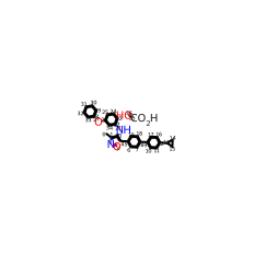 Cc1noc(-c2ccc(-c3ccc(C4CC4)cc3)cc2)c1Nc1cccc(Oc2ccccc2)c1.O=C(O)O